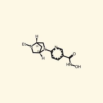 CCN1C[C@@H]2C[C@H]1CN2c1ccc(C(=O)NO)cn1